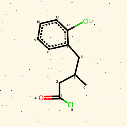 CC(CC(=O)Cl)Cc1ccccc1Cl